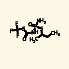 CCC(C)SP(N)(=O)NC(=O)SC(F)(F)F